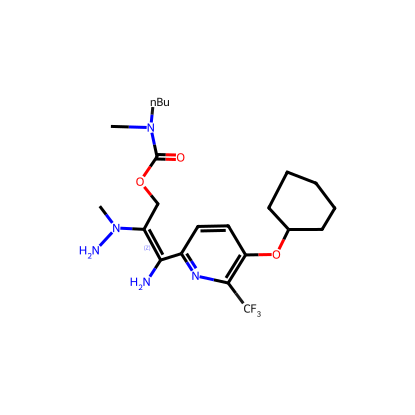 CCCCN(C)C(=O)OC/C(=C(/N)c1ccc(OC2CCCCC2)c(C(F)(F)F)n1)N(C)N